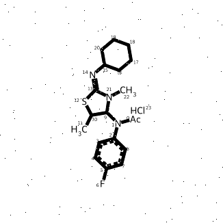 CC(=O)N(c1ccc(F)cc1)C1C(C)SC(=NC2CCCCC2)N1C.Cl